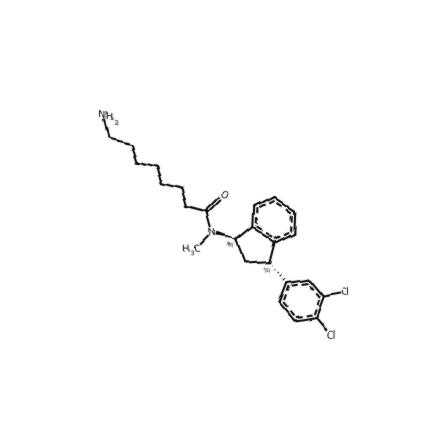 CN(C(=O)CCCCCCCN)[C@@H]1C[C@@H](c2ccc(Cl)c(Cl)c2)c2ccccc21